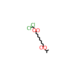 CC(C)COC(=O)CCCCCCCCC(=O)OCC(Cl)Cl